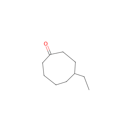 CCC1CCCCC(=O)CC1